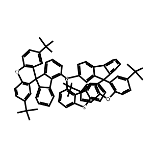 CC(C)(C)c1ccc2c(c1)C1(c3cc(C(C)(C)C)ccc3O2)c2ccccc2-c2ccc(N(c3cccc4c3-c3ccccc3C43c4cc(C(C)(C)C)ccc4Oc4ccc(C(C)(C)C)cc43)c3cccc4sc5ccccc5c34)cc21